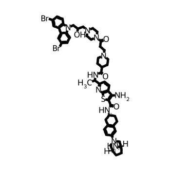 CC(NC(=O)C1CCN(CCC(=O)N2CCN(CC(O)Cn3c4ccc(Br)cc4c4cc(Br)ccc43)CC2)CC1)c1ccc2c(N)c(C(=O)N[C@H]3CCc4cc(N5C[C@H]6CC[C@@H](C5)N6)ccc4C3)sc2n1